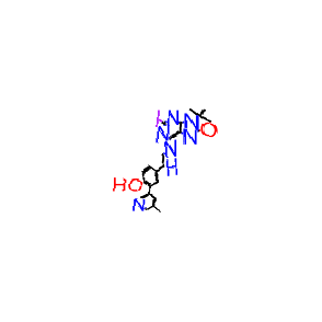 Cc1cncc(-c2cc(CCNc3nc(I)nc4c3nc3n4C(C)(C)CO3)ccc2O)c1